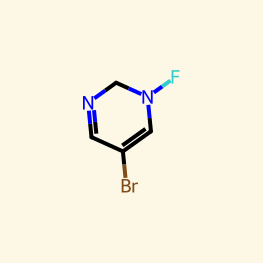 FN1C=C(Br)C=NC1